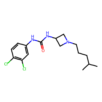 CC(C)CCCN1CC(NC(=O)Nc2ccc(Cl)c(Cl)c2)C1